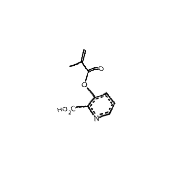 C=C(C)C(=O)Oc1cccnc1C(=O)O